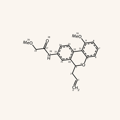 C=CCC1Oc2cccc(OC)c2-c2ccc(NC(=O)COC)cc21